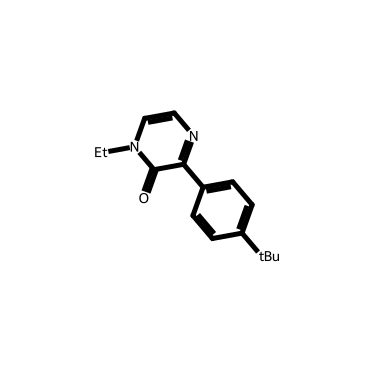 CCn1ccnc(-c2ccc(C(C)(C)C)cc2)c1=O